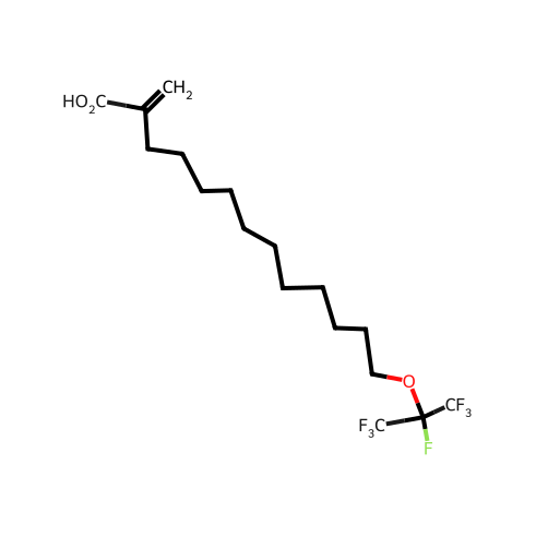 C=C(CCCCCCCCCCCOC(F)(C(F)(F)F)C(F)(F)F)C(=O)O